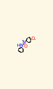 COc1ccc(N(C)C(=O)Nc2ccccc2)cc1